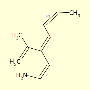 C=C(C)C(/C=C\N)=C\C=C/C